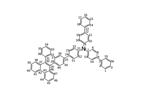 c1ccc(-c2ccc(N(c3ccc(-c4ccccc4)cc3)c3ccc(-c4ccc(-c5c(-c6ccccc6)c6ccccc6c6ccccc56)cc4)cc3)cc2)cc1